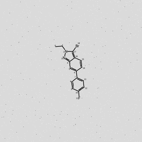 CCn1nc2cc(-c3ccc(F)cc3)ccc2c1Br